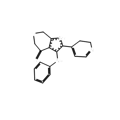 O=C1COCc2[nH]c(C3=CC=NCC3)c(NC3=C=C=CC=C3)c21